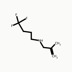 C=C(C)CNCCCC(F)(F)F